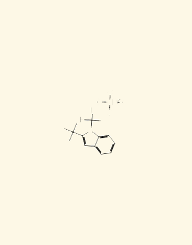 CC(C)(C)c1cc2ccccc2[s+]1C(F)(F)F.[O-][Cl+3]([O-])([O-])[O-]